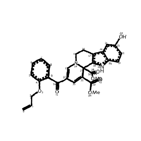 C=CCOc1ccccc1C(=O)C1=CN2CCc3c([nH]c4ccc(O)cc34)C2(C(=O)OC)C(C(=O)OC)=C1